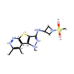 Cc1nnc2sc3c(NC4CN(S(C)(=O)=O)C4)nn(C)c3c2c1C